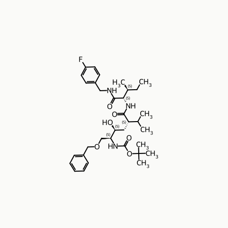 CC[C@H](C)[C@H](NC(=O)[C@@H](C[C@H](O)[C@H](COCc1ccccc1)NC(=O)OC(C)(C)C)C(C)C)C(=O)NCc1ccc(F)cc1